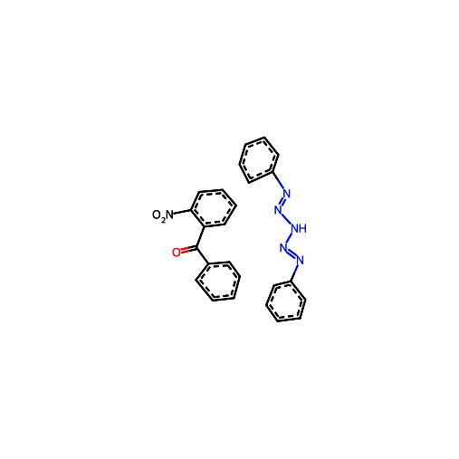 O=C(c1ccccc1)c1ccccc1[N+](=O)[O-].c1ccc(N=NNN=Nc2ccccc2)cc1